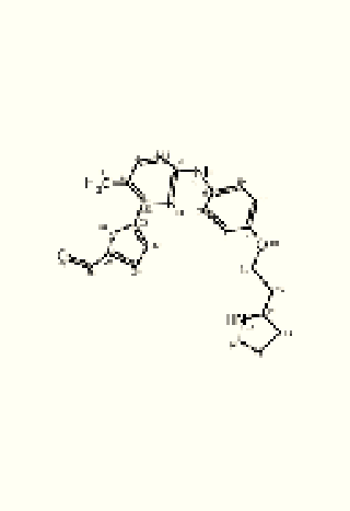 Cc1cnc(Nc2ccc(OCCC3CCCN3)cc2)nc1-c1ccc(C=O)s1